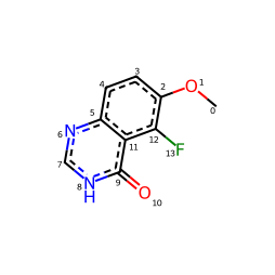 COc1ccc2nc[nH]c(=O)c2c1F